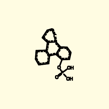 O=P(O)(O)Oc1cccc2c3ccccc3c3ccccc3c12